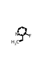 C=Cc1ncccc1F